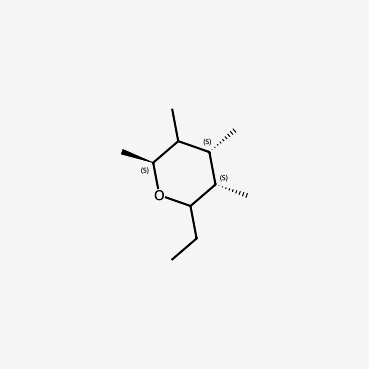 CCC1O[C@@H](C)C(C)[C@H](C)[C@@H]1C